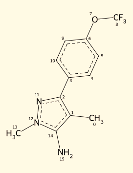 Cc1c(-c2ccc(OC(F)(F)F)cc2)nn(C)c1N